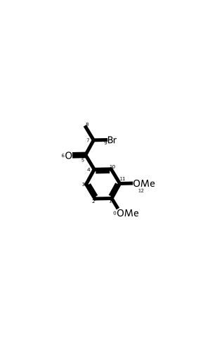 COc1ccc(C(=O)C(C)Br)cc1OC